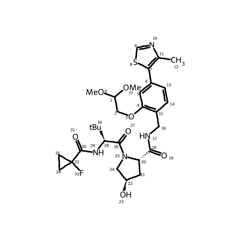 COC(COc1cc(-c2scnc2C)ccc1CNC(=O)[C@@H]1C[C@@H](O)CN1C(=O)[C@@H](NC(=O)C1(F)CC1)C(C)(C)C)OC